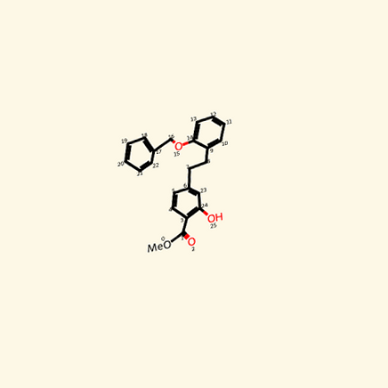 COC(=O)c1ccc(CCc2ccccc2OCc2ccccc2)cc1O